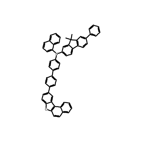 CC1(C)c2cc(-c3ccccc3)ccc2-c2ccc(N(c3ccc(-c4ccc(-c5ccc6oc7ccc8ccccc8c7c6c5)cc4)cc3)c3cccc4ccccc34)cc21